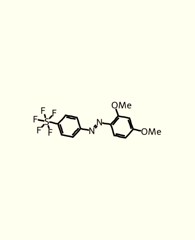 COc1ccc(/N=N/c2ccc(S(F)(F)(F)(F)F)cc2)c(OC)c1